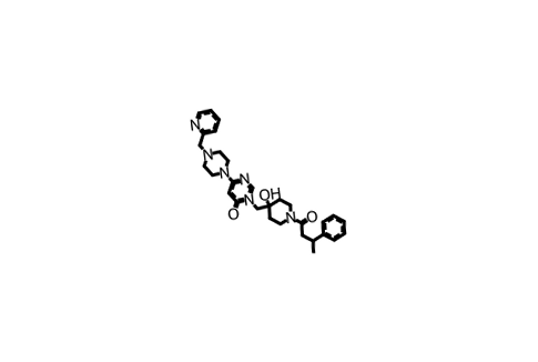 CC(CC(=O)N1CCC(O)(Cn2cnc(N3CCN(Cc4ccccn4)CC3)cc2=O)CC1)c1ccccc1